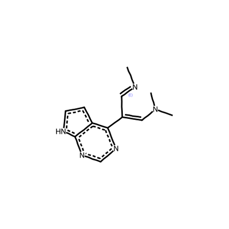 C/N=C/C(=CN(C)C)c1ncnc2[nH]ccc12